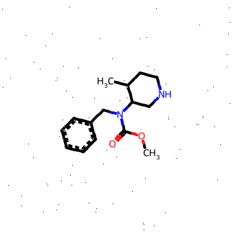 COC(=O)N(Cc1ccccc1)C1CNCCC1C